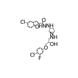 O=C(NNC1CCN(NCC(O)COc2ccc(Cl)c(F)c2)C1)c1cc2cc(Cl)ccc2o1